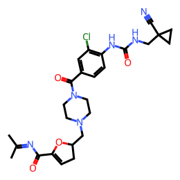 CC(C)=NC(=O)C1=CCC(CN2CCN(C(=O)c3ccc(NC(=O)NCC4(C#N)CC4)c(Cl)c3)CC2)O1